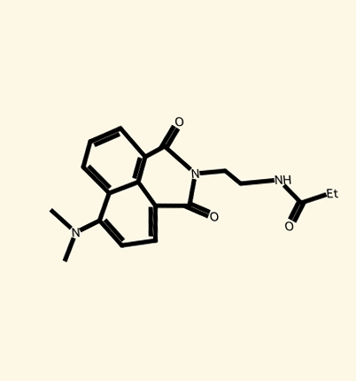 CCC(=O)NCCN1C(=O)c2cccc3c(N(C)C)ccc(c23)C1=O